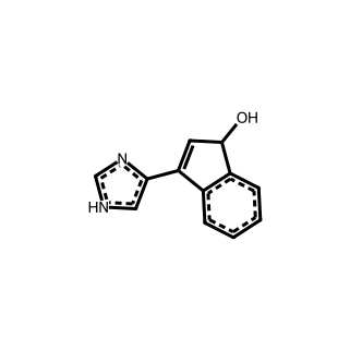 OC1C=C(c2c[nH]cn2)c2ccccc21